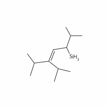 CC(C)C(=CC([SiH3])C(C)C)C(C)C